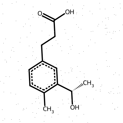 Cc1ccc(CCC(=O)O)cc1[C@H](C)O